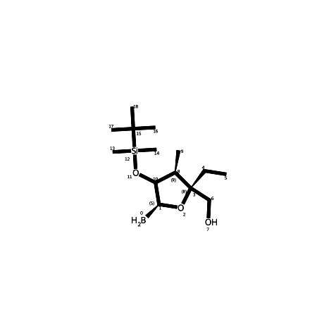 B[C@@H]1O[C@@](CC)(CO)[C@H](C)C1O[Si](C)(C)C(C)(C)C